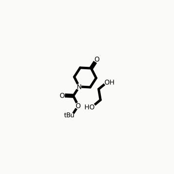 CC(C)(C)OC(=O)N1CCC(=O)CC1.OCCO